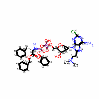 CCN(CC)CCc1nc2c(N)nc(Cl)nc2n1[C@@H]1C2O[C@H](COP(=O)(O)OP(=O)(N[C@@H](Cc3ccccc3)C(=O)OCc3ccccc3)Oc3ccccc3)[C@H](O)C21